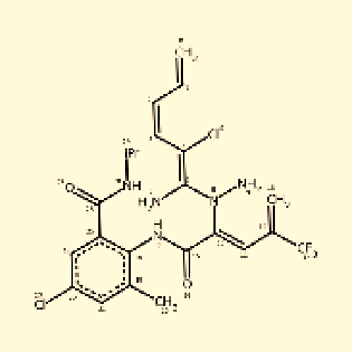 C=C/C=C\C(Cl)=C(/N)N(N)/C(=C\C(=C)C(F)(F)F)C(=O)Nc1c(C)cc(Cl)cc1C(=O)NC(C)C